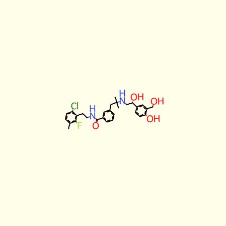 Cc1ccc(Cl)c(CCNC(=O)c2cccc(CC(C)(C)NC[C@H](O)c3ccc(O)c(CO)c3)c2)c1F